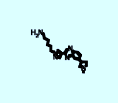 CN1CCC(c2ccc3ncc(-c4cnn(CCCCCCN)c4)nc3c2)C1